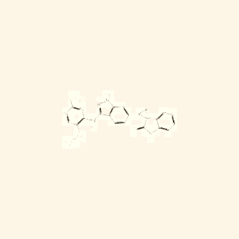 COc1cnc(C)nc1Nc1n[nH]c2cc([C@@H]3C[C@@]34C(=O)Nc3ccccc34)ccc12